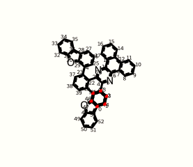 c1ccc(-c2nc3c4ccccc4c4ccccc4c3nc2-c2c(-c3cccc4c3oc3ccccc34)cccc2-c2cccc3c2oc2ccccc23)cc1